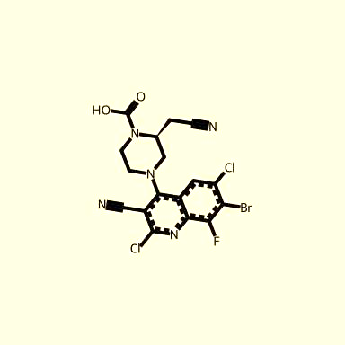 N#CC[C@H]1CN(c2c(C#N)c(Cl)nc3c(F)c(Br)c(Cl)cc23)CCN1C(=O)O